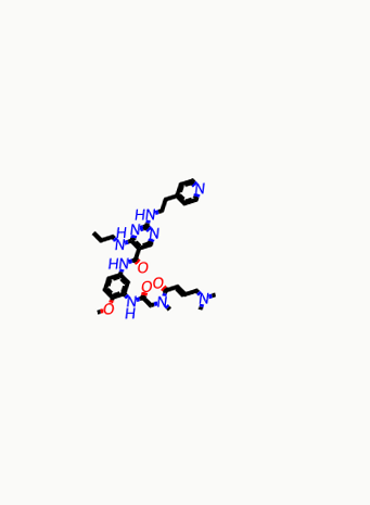 CCCNc1nc(NCCc2ccncc2)ncc1C(=O)Nc1ccc(OC)c(NC(=O)CN(C)C(=O)/C=C/CN(C)C)c1